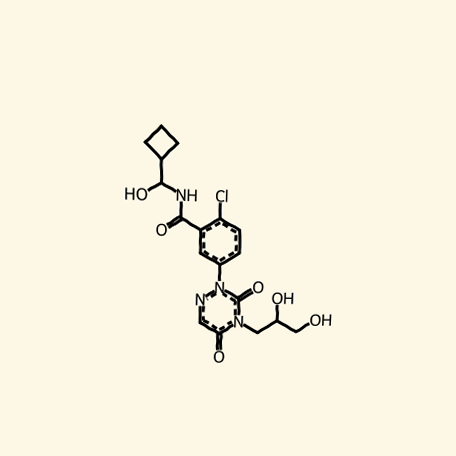 O=C(NC(O)C1CCC1)c1cc(-n2ncc(=O)n(CC(O)CO)c2=O)ccc1Cl